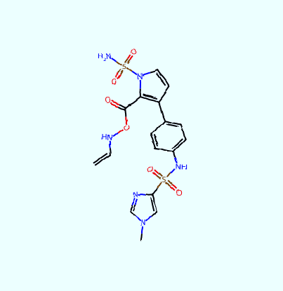 C=CNOC(=O)c1c(-c2ccc(NS(=O)(=O)c3cn(C)cn3)cc2)ccn1S(N)(=O)=O